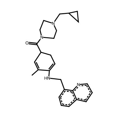 CC1=CC(C(=O)N2CCN(CC3CC3)CC2)CC=C1NCc1cccc2cccnc12